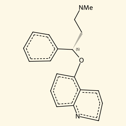 CNCC[C@H](Oc1cccc2ncccc12)c1ccccc1